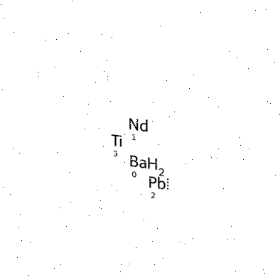 [BaH2].[Nd].[Pb].[Ti]